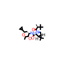 CC(=O)C(=O)[C@H](CCC1CC1)NC(=O)[C@@H]1[C@@H]2[C@H](CN1C(=O)[C@@H](C)C(C)(C)C)C2(C)C